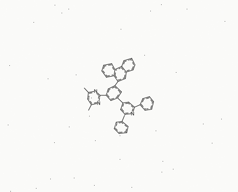 Cc1cc(C)nc(-c2cc(-c3cc(-c4ccccc4)nc(-c4ccccc4)c3)cc(-c3cc4ccccc4c4ccccc34)c2)n1